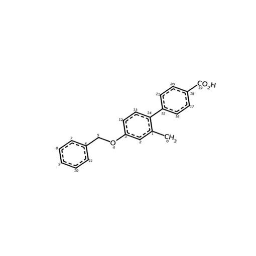 Cc1cc(OCc2ccccc2)ccc1-c1ccc(C(=O)O)cc1